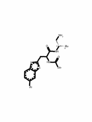 CCCC(=O)NC(Cc1nc2ccc(C(C)C)cc2s1)C(=O)N[C@H](CN)[C@@H](C)CC